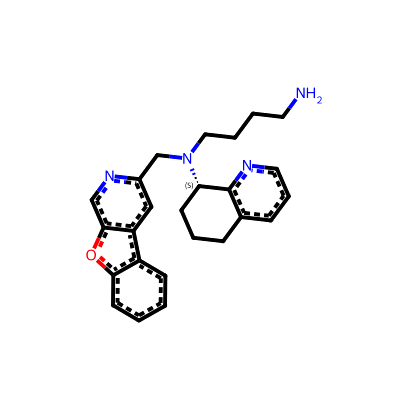 NCCCCN(Cc1cc2c(cn1)oc1ccccc12)[C@H]1CCCc2cccnc21